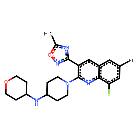 CCc1cc(F)c2nc(N3CCC(NC4CCOCC4)CC3)c(-c3noc(C)n3)cc2c1